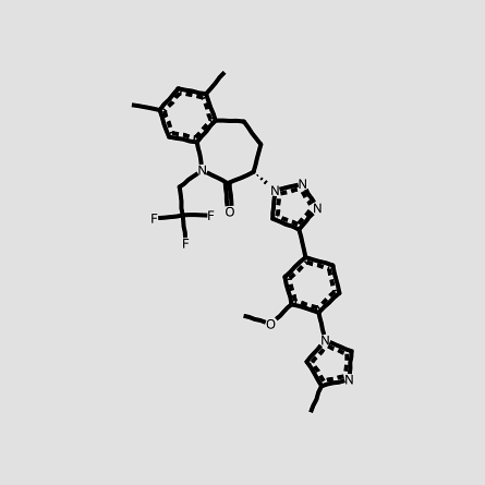 COc1cc(-c2cn([C@H]3CCc4c(C)cc(C)cc4N(CC(F)(F)F)C3=O)nn2)ccc1-n1cnc(C)c1